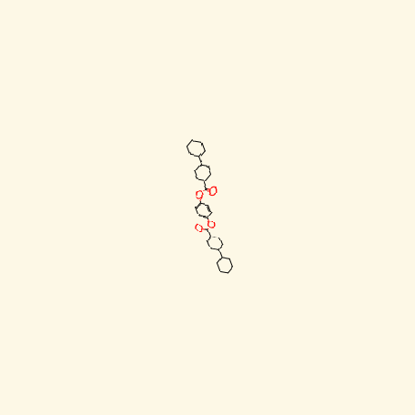 O=C(Oc1ccc(OC(=O)C2CCC(C3CCCCC3)CC2)cc1)C1CCC(C2CCCCC2)CC1